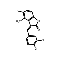 Cc1c(Br)ccc2c1C(=Cc1ccc(Cl)c(Cl)c1)C(=O)N2